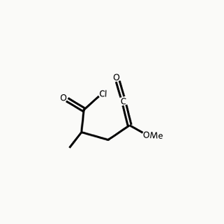 COC(=C=O)CC(C)C(=O)Cl